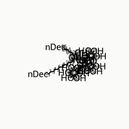 CCCCCCCCCCCCCCCCCCCCCC(=O)N[C@@H](COP(=O)(O)O[C@H]1C(O)C(O)C(O)[C@@H](O)C1O[C@H]1O[C@H](COP(=O)(O)OC2C(O)C(O)C(O)[C@@H](O)C2O)[C@@H](O)C(O)C1O)[C@H](O)CCCCCCCCCCCCCCC